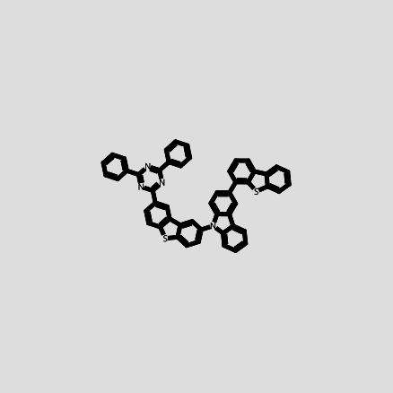 c1ccc(-c2nc(-c3ccccc3)nc(-c3ccc4sc5ccc(-n6c7ccccc7c7cc(-c8cccc9c8sc8ccccc89)ccc76)cc5c4c3)n2)cc1